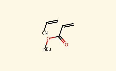 C=CC#N.C=CC(=O)OCCCC